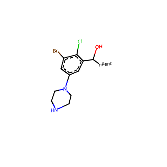 CCCCCC(O)c1cc(N2CCNCC2)cc(Br)c1Cl